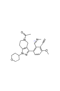 C#Cc1c(OC)ccc(-c2nn(C3CCOCC3)c3c2CN(C(C)=O)CC3)c1/C=N\C